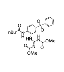 CCCCC(=O)Nc1ccc(S(=O)(=O)c2ccccc2)cc1NC(=NC(=O)OC)NC(=O)OC